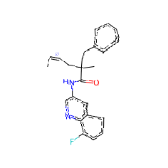 C/C=C\CC(C)(Cc1ccccc1)C(=O)Nc1cnc2c(F)cccc2c1